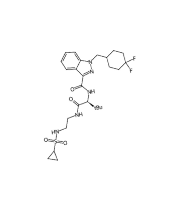 CC(C)(C)[C@H](NC(=O)c1nn(CC2CCC(F)(F)CC2)c2ccccc12)C(=O)NCCNS(=O)(=O)C1CC1